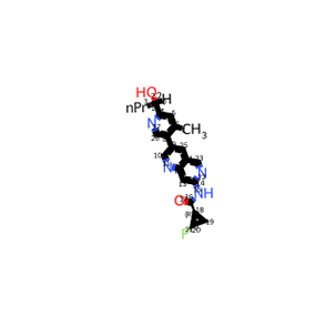 [2H]C(O)(CCC)c1cc(C)c(-c2cnc3cc(NC(=O)[C@H]4C[C@H]4F)ncc3c2)cn1